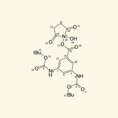 CC(C)(C)OC(=O)Nc1cc(NC(=O)OC(C)(C)C)cc(C(=O)O[N+]2(O)C(=O)CCC2=O)c1